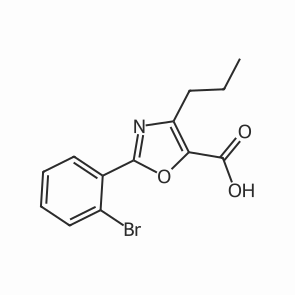 CCCc1nc(-c2ccccc2Br)oc1C(=O)O